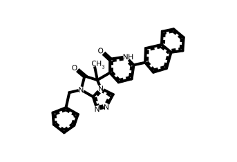 CC1(c2ccc(-c3ccc4ccccc4c3)[nH]c2=O)C(=O)N(Cc2ccccc2)c2nncn21